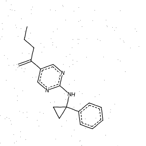 C=C(CCC)c1cnc(NC2(c3ccccc3)CC2)nc1